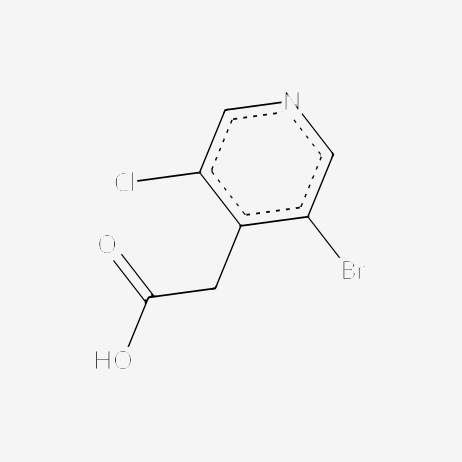 O=C(O)Cc1c(Cl)cncc1Br